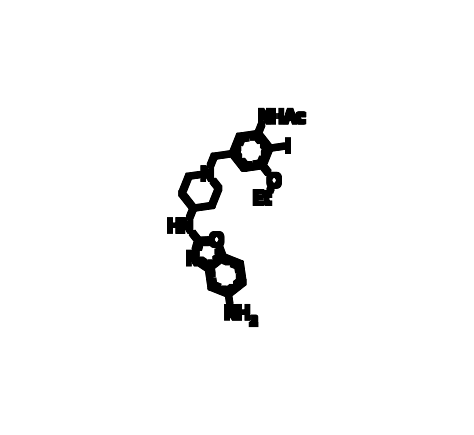 CCOc1cc(CN2CCC(Nc3nc4cc(N)ccc4o3)CC2)cc(NC(C)=O)c1I